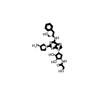 N[C@@H]1CCN(c2nc(N[C@H](CO)Cc3ccccc3)c3ncn([C@@H]4C[C@H](NC(=O)CO)[C@@H](O)[C@H]4O)c3n2)C1